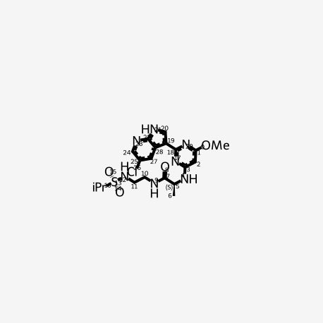 COc1cc(N[C@@H](C)C(=O)NCCNS(=O)(=O)C(C)C)nc(-c2c[nH]c3ncc(Cl)cc23)n1